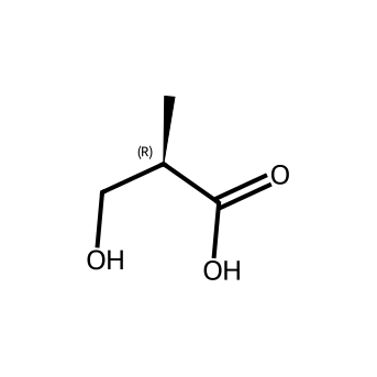 C[C@H](CO)C(=O)O